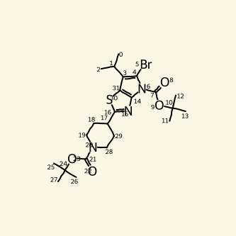 CC(C)c1c(Br)n(C(=O)OC(C)(C)C)c2nc(C3CCN(C(=O)OC(C)(C)C)CC3)sc12